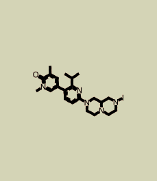 Cc1cc(-c2ccc(N3CCN4CCN(I)CC4C3)nc2C(C)C)cn(C)c1=O